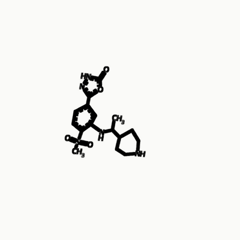 CC(Nc1cc(-c2n[nH]c(=O)o2)ccc1S(C)(=O)=O)C1CCNCC1